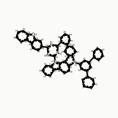 c1ccc(-c2cc(-c3ccccc3)cc(-n3c4ccccc4c4c3ccc3c5ccccc5n(-c5nc(-c6ccccc6)nc(-c6ccc7c(c6)oc6ccccc67)n5)c34)c2)cc1